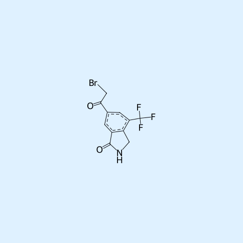 O=C(CBr)c1cc2c(c(C(F)(F)F)c1)CNC2=O